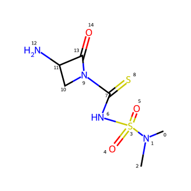 CN(C)S(=O)(=O)NC(=S)N1CC(N)C1=O